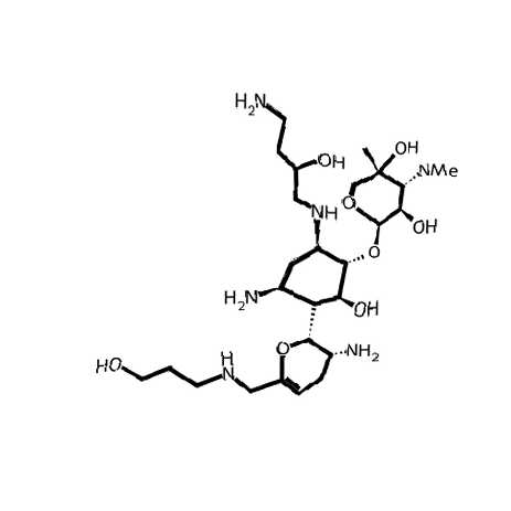 CN[C@@H]1[C@@H](O)[C@@H](O[C@H]2[C@H](NCC(O)CCN)C[C@H](N)C([C@H]3OC(CNCCCO)=CC[C@H]3N)[C@@H]2O)OC[C@]1(C)O